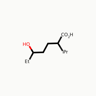 CCC(O)CCC(C(=O)O)C(C)C